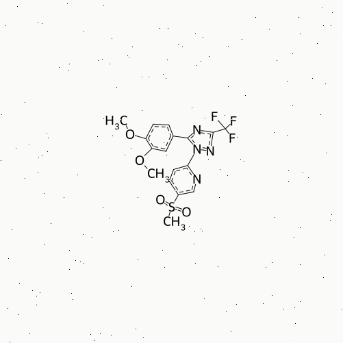 COc1ccc(-c2nc(C(F)(F)F)nn2-c2ccc(S(C)(=O)=O)cn2)cc1OC